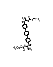 CCOC(=O)N=C(N)Nc1ccc(-c2ccc(-c3ccc(NC(N)=NC(=O)OCC)cc3)cc2)cc1